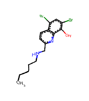 CCCCCNCc1ccc2c(Br)cc(Br)c(O)c2n1